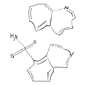 NS(=O)(=O)c1cccc2cnccc12.c1ccc2ncccc2c1